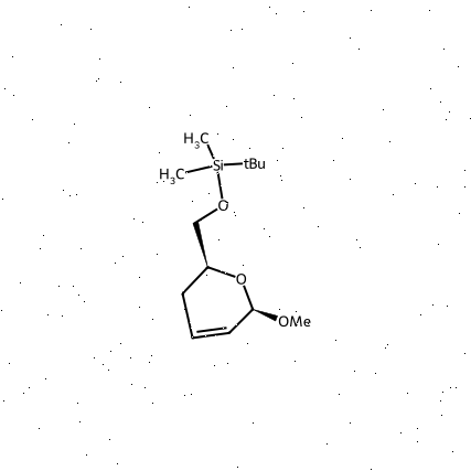 CO[C@H]1C=CC[C@@H](CO[Si](C)(C)C(C)(C)C)O1